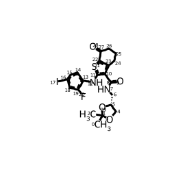 CC1(C)OC[C@@H](CNC(=O)c2c(Nc3ccc(I)cc3F)sc3c2CCCC3=O)O1